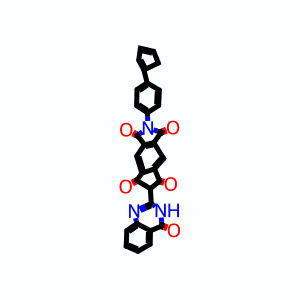 O=C1c2cc3c(cc2C(=O)C1c1nc2ccccc2c(=O)[nH]1)C(=O)N(c1ccc(C2=CC=CC2)cc1)C3=O